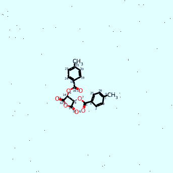 Cc1ccc(C(=O)O[C@@H]2C(=O)OC(=O)[C@H]2OC(=O)c2ccc(C)cc2)cc1